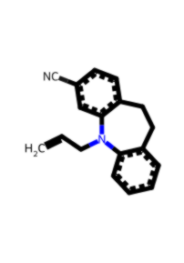 C=CCN1c2ccccc2CCc2ccc(C#N)cc21